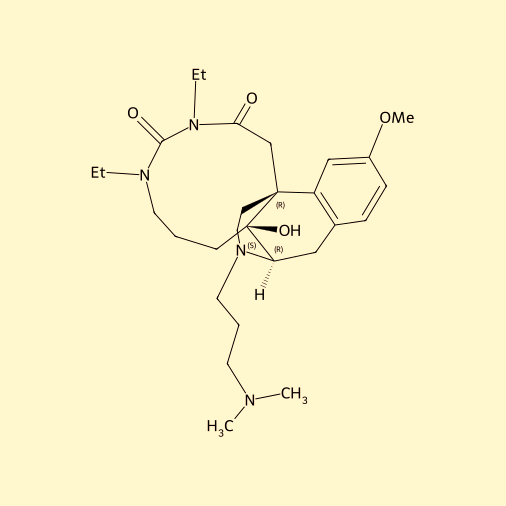 CCN1CCC[C@@]2(O)[C@H]3Cc4ccc(OC)cc4[C@@]2(CCN3CCCN(C)C)CC(=O)N(CC)C1=O